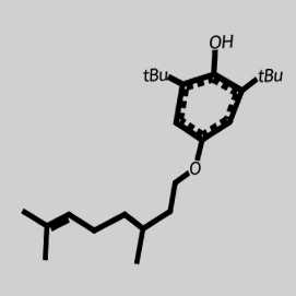 CC(C)=CCCC(C)CCOc1cc(C(C)(C)C)c(O)c(C(C)(C)C)c1